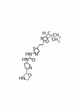 CC(C)(C)c1cnc(C=Cc2cnc(NC(=O)Nc3ccc(C4CNCCO4)nc3)s2)o1